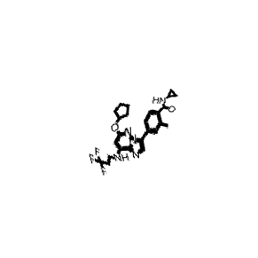 Cc1cc(-c2cnc3c(NCCC(F)(F)F)cc(OC4CCCC4)nn23)ccc1C(=O)NC1CC1